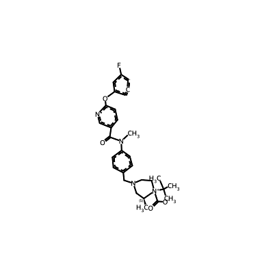 C[C@H]1CN(Cc2ccc(N(C)C(=O)c3ccc(Oc4cccc(F)c4)nc3)cc2)CC[N+]1(C(=O)[O-])C(C)(C)C